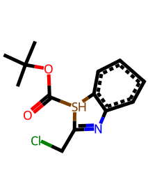 CC(C)(C)OC(=O)[SH]1C(CCl)=Nc2ccccc21